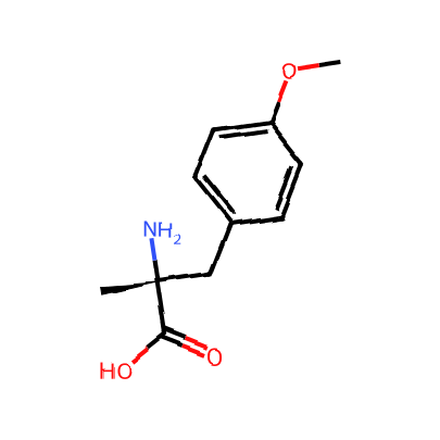 COc1ccc(C[C@@](C)(N)C(=O)O)cc1